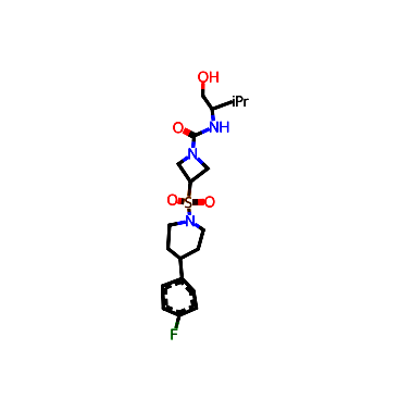 CC(C)C(CO)NC(=O)N1CC(S(=O)(=O)N2CCC(c3ccc(F)cc3)CC2)C1